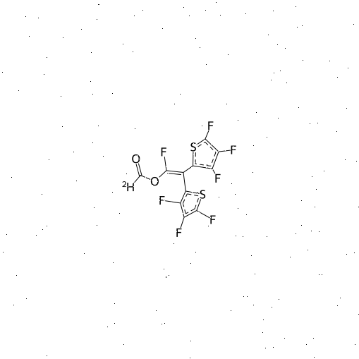 [2H]C(=O)OC(F)=C(c1sc(F)c(F)c1F)c1sc(F)c(F)c1F